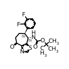 CC(C)(C)OC(=O)N[C@@H]1c2scnc2C(=O)CC[C@H]1c1cccc(F)c1F